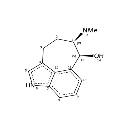 CN[C@@H]1CCc2c[nH]c3cccc(c23)[C@@H]1O